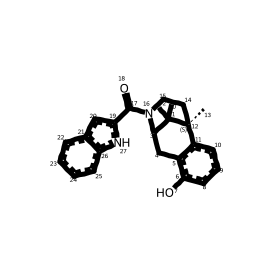 CC1(C)C2Cc3c(O)cccc3[C@]1(C)CCN2C(=O)c1cc2ccccc2[nH]1